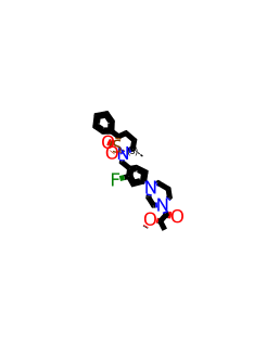 COC(C)C(=O)N1CCCN(c2ccc(CN3[C@@H](C)CCC(c4ccccc4)S3(=O)=O)c(F)c2)CC1